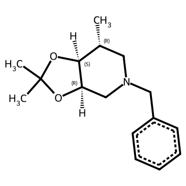 C[C@@H]1CN(Cc2ccccc2)C[C@H]2OC(C)(C)O[C@@H]12